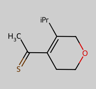 CC(=S)C1=C(C(C)C)COCC1